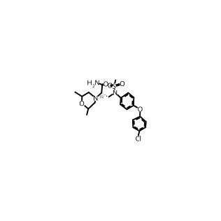 CC1CN([C@@H](CN(c2ccc(Oc3ccc(Cl)cc3)cc2)S(C)(=O)=O)C(N)=O)CC(C)O1